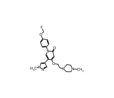 CN1CCN(CCOc2cc(=O)n(-c3ccc(OCF)cc3)cc2-c2cnn(C)c2)CC1